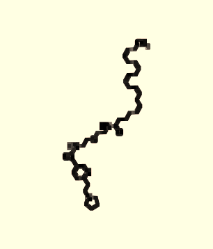 CC/C=C\C/C=C\C/C=C\C/C=C\C/C=C\CCCC(=O)NCCOCCNC1OC1c1ccc(CCN2CCCC2)nc1